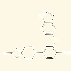 O=C1CC2(CCN(c3ccc(C(=O)O)c(Oc4cnc5[nH]ccc5c4)c3)CC2)C1